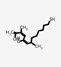 C=C(O)/C(C)=C\C(O)=C/C(C)CCCCCCS